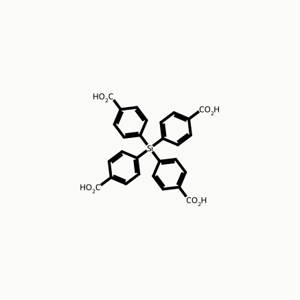 O=C(O)c1ccc([Si](c2ccc(C(=O)O)cc2)(c2ccc(C(=O)O)cc2)c2ccc(C(=O)O)cc2)cc1